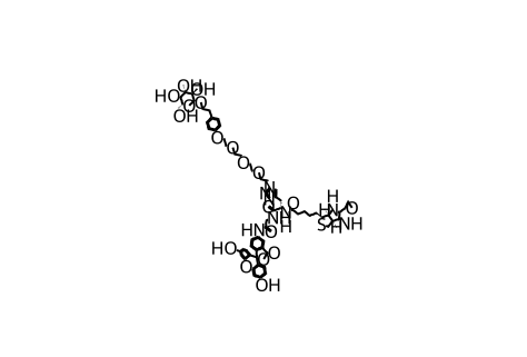 N=C1C(C2CO2)N[C@@H]2[C@H](CCCCC(=O)N[C@@H](Cc3cn(CCOCCOCCOCCOc4ccc(CCO[C@@H]5O[C@H](CO)[C@@H](O)[C@H](O)[C@H]5O)cc4)nn3)C(=O)NCC(=O)Nc3ccc4c(c3)C(=O)OC43c4ccc(O)cc4Oc4cc(O)ccc43)SC[C@H]12